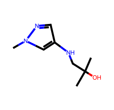 Cn1cc(NCC(C)(C)O)cn1